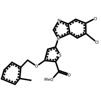 COC(=O)c1sc(-n2cnc3cc(Cl)c(Cl)cc32)cc1OCc1ccccc1C